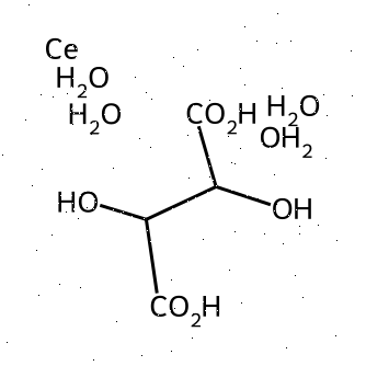 O.O.O.O.O=C(O)C(O)C(O)C(=O)O.[Ce]